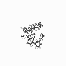 Cn1cc(NC(O)c2cccc(-c3ccnc(NCC4CC4)c3)n2)c(C(=O)NCC2CCS(=O)(=O)C2)n1